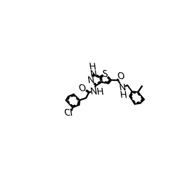 Cc1ccccc1CNC(=O)c1cc2c(NC(=O)Cc3cccc(Cl)c3)n[nH]c2s1